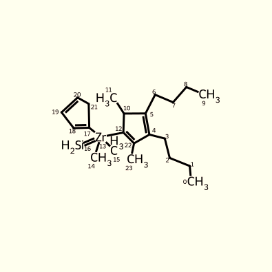 CCCCC1=C(CCCC)C(C)[C]([Zr]([CH3])([CH3])(=[SiH2])[C]2=CC=CC2)=C1C